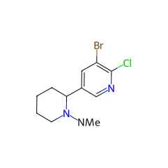 CNN1CCCCC1c1cnc(Cl)c(Br)c1